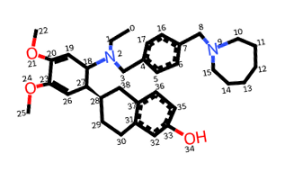 CCN(Cc1ccc(CN2CCCCCC2)cc1)C1C=C(OC)C(OC)=CC1[C@@H]1CCc2cc(O)ccc2C1